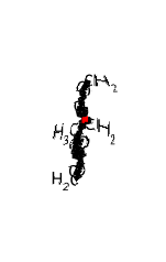 C=CC(=O)OCCCCOc1ccc(/C(C=C)=C/C=C(C)/C=C/C(=O)Oc2ccc(CCOC(=O)C=C)cc2)cc1